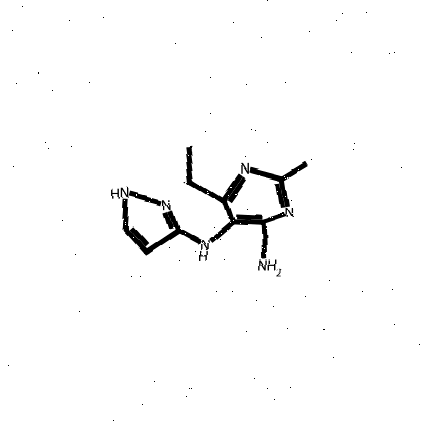 C[CH]c1nc(C)nc(N)c1Nc1cc[nH]n1